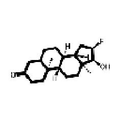 C[C@]12CC[C@H]3[C@@H](CCC4CC(=O)CC[C@@]43C)[C@@H]1C[C@@H](F)[C@H]2O